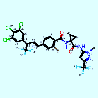 Cn1nc(C(F)(F)F)cc1NC(=O)C1(NC(=O)c2ccc(/C=C/C(c3cc(Cl)c(Cl)c(Cl)c3)C(F)(F)F)cc2Br)CC1